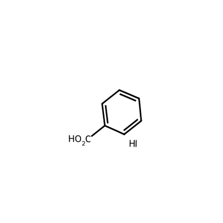 I.O=C(O)c1ccccc1